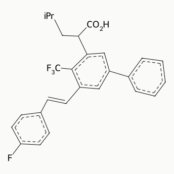 CC(C)CC(C(=O)O)c1cc(-c2ccccc2)cc(C=Cc2ccc(F)cc2)c1C(F)(F)F